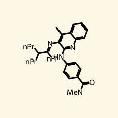 CCC/C(=N\c1c(Nc2ccc(C(=O)NC)cc2)nc2ccccc2c1C)C(CCC)CCC